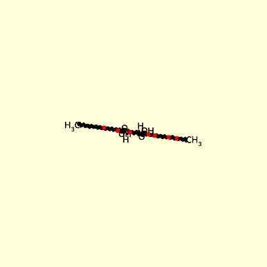 CCCCCCCCCCCCCCCCCCCCCCC(O)C(=O)NCCCCCCNC(=O)C(O)CCCCCCCCCCCCCCCCCCCCCC